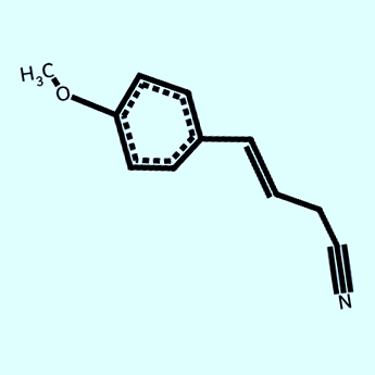 COc1ccc(C=CCC#N)cc1